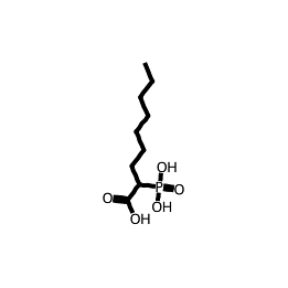 CCCCCCCC(C(=O)O)P(=O)(O)O